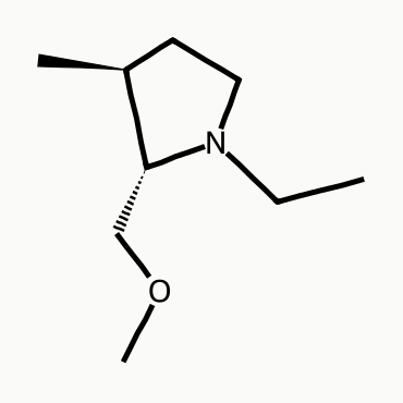 CCN1CC[C@H](C)[C@H]1COC